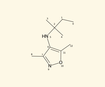 CCC(C)(C)Nc1c(C)noc1C